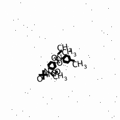 CCc1ccc(N(CC(C)C)S(=O)(=O)c2ccc(N3CC4(COC4)C3)c(S(C)(=N)=O)c2)cc1